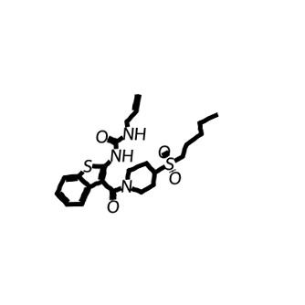 C=CCNC(=O)Nc1sc2ccccc2c1C(=O)N1CCC(S(=O)(=O)CCCCC)CC1